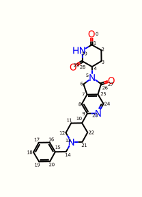 O=C1CCC(N2Cc3cc(C4CCN(Cc5ccccc5)CC4)ncc3C2=O)C(=O)N1